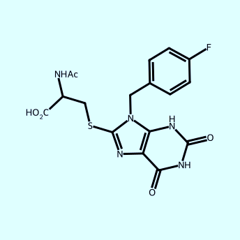 CC(=O)NC(CSc1nc2c(=O)[nH]c(=O)[nH]c2n1Cc1ccc(F)cc1)C(=O)O